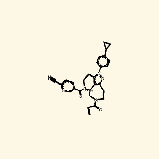 C=CC(=O)N1CCc2nn(-c3ccc(C4CC4)cc3)c3c2[C@H](C1)N(C(=O)c1ccc(C#N)nc1)CC3